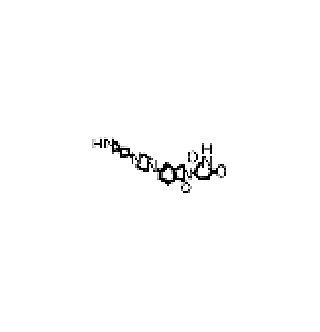 O=C1CC[C@H](N2Cc3cc(N4CCN(C5CC6(CNC6)C5)CC4)ccc3C2=O)C(=O)N1